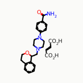 NC(=O)c1ccc(N2CCN(CC3OCCc4ccccc43)CC2)cc1.O=C(O)C=CC(=O)O